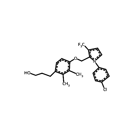 Cc1c(CCCO)ccc(OCc2c(C(F)(F)F)ccn2-c2ccc(Cl)cc2)c1C